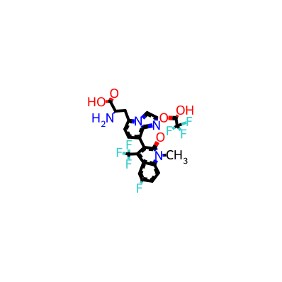 Cn1c(=O)c(-c2ccc(C[C@H](N)C(=O)O)n3ccnc23)c(C(F)(F)F)c2cc(F)ccc21.O=C(O)C(F)(F)F